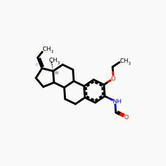 C/C=C1/CCC2C3CCc4cc(NC=O)c(OCC)cc4C3CC[C@]12C